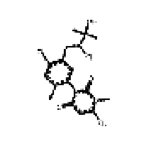 Cn1c(C(F)(F)F)cc(=O)n(-c2cc(CC(Cl)C(C)(C)O)c(Cl)cc2F)c1=O